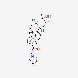 C[C@@H]1C[C@H]2[C@@H](CC[C@@H]3[C@@H]2CC[C@]2(C)[C@@H](C(=O)Cn4cccn4)CC[C@@H]32)C[C@]1(C)O